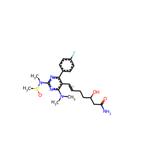 CN(C)c1nc(N(C)[S+](C)[O-])nc(-c2ccc(F)cc2)c1/C=C/CCC(O)CC(N)=O